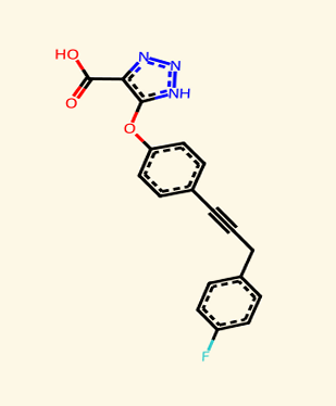 O=C(O)c1nn[nH]c1Oc1ccc(C#CCc2ccc(F)cc2)cc1